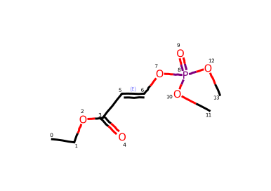 CCOC(=O)/C=C/OP(=O)(OC)OC